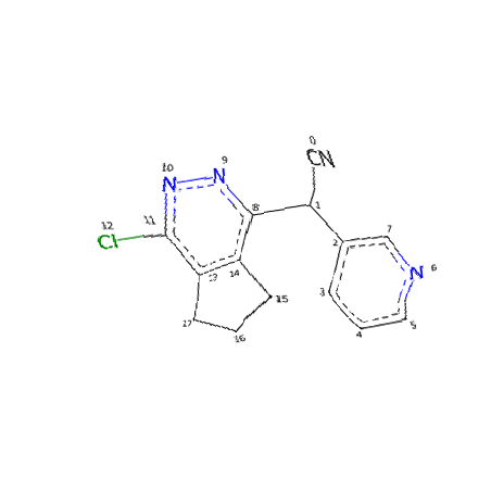 N#CC(c1cccnc1)c1nnc(Cl)c2c1CCC2